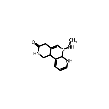 CNN1C=C2CC(=O)NCC2C2=CC=CNC21